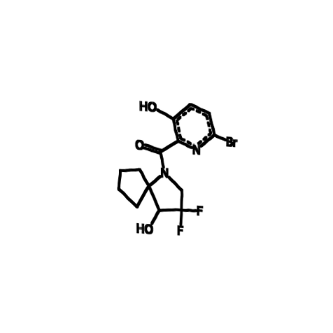 O=C(c1nc(Br)ccc1O)N1CC(F)(F)C(O)C12CCCC2